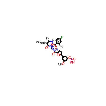 CCCCCC(C(=O)NCNC(=O)c1ccc(-c2cc(OCC)cc(O[PH](=O)O)c2)o1)C(CC)N(C=O)OC(=O)c1ccc(F)cc1C(C)C